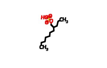 CCCCCCCC(CCC)COS(=O)(=O)O